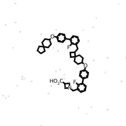 O=C(O)C1CN(Cc2cccc(-c3ccc(OC4CCC5(CC4)CCC5Cc4cccc(-c5ccc(OC6CCC7(CCCC7)CC6)cc5)c4F)cc3)c2F)C1